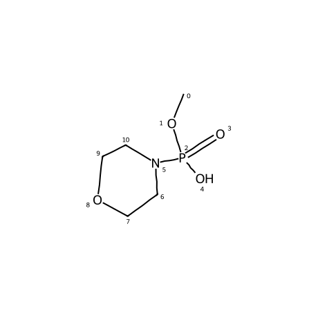 COP(=O)(O)N1CCOCC1